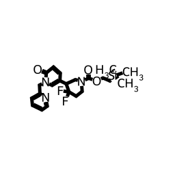 C[Si](C)(C)CCOC(=O)N1CCC(F)(F)C(c2ccc(=O)n(Cc3ccccn3)c2)C1